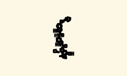 Cc1csc2c(O)cc3c(c12)[C@H](CCl)CN3C(=O)c1cc2cc(NC(=O)c3cc4cc(OCCN5CCCC5)ccc4[nH]3)ccc2[nH]1